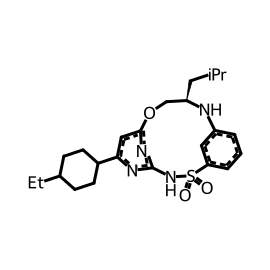 CCC1CCC(c2cc3nc(n2)NS(=O)(=O)c2cccc(c2)N[C@H](CC(C)C)CO3)CC1